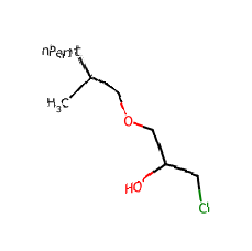 CCCCCC(C)COCC(O)CCl